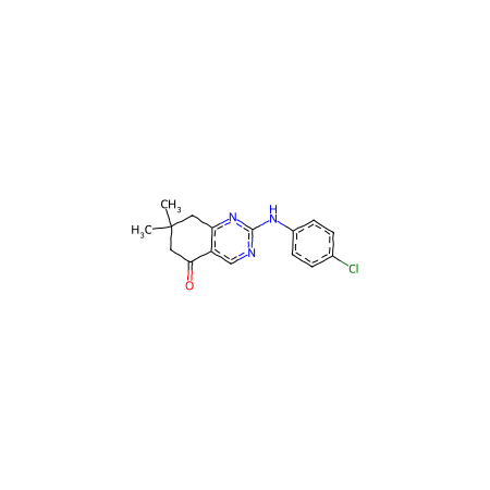 CC1(C)CC(=O)c2cnc(Nc3ccc(Cl)cc3)nc2C1